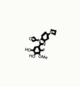 COc1c(O)c(O)cc(-c2nc3cc(N4CCC4)ccc3n2C2COC2)c1F